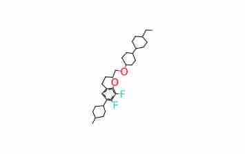 CCC1CCC(C2CCC(OCC3CCc4cc(C5CCC(C)CC5)c(F)c(F)c4O3)CC2)CC1